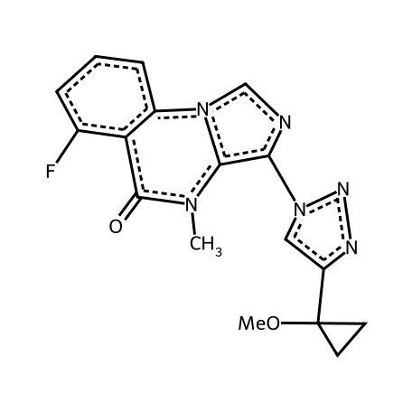 COC1(c2cn(-c3ncn4c5cccc(F)c5c(=O)n(C)c34)nn2)CC1